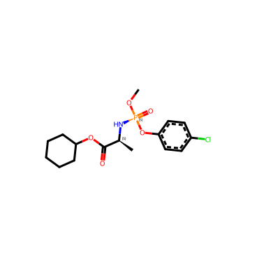 CO[P@@](=O)(N[C@@H](C)C(=O)OC1CCCCC1)Oc1ccc(Cl)cc1